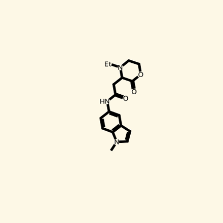 CCN1CCOC(=O)C1CC(=O)Nc1ccc2c(ccn2C)c1